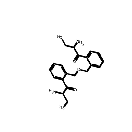 NC(CS)C(=O)c1ccccc1COCc1ccccc1C(=O)C(N)CS